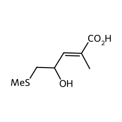 CSCC(O)C=C(C)C(=O)O